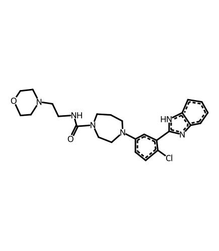 O=C(NCCN1CCOCC1)N1CCCN(c2ccc(Cl)c(-c3nc4ccccc4[nH]3)c2)CC1